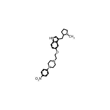 CN1CCCC1Cc1c[nH]c2ccc(OCCN3CCN(c4ccc([N+](=O)[O-])cc4)CC3)cc12